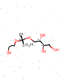 CC[C@@](OCCO)(OC[C@H](O)[C@H](O)CO)C(=O)O